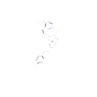 Nc1ccc(CCC2CC3(CO2)CC(n2ccc4c(N)ncnc42)C(O)C3O)cn1